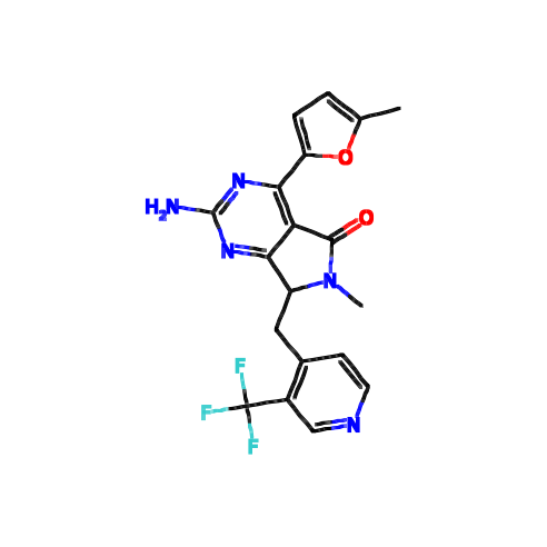 Cc1ccc(-c2nc(N)nc3c2C(=O)N(C)C3Cc2ccncc2C(F)(F)F)o1